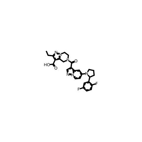 CCc1nn2c(c1C(=O)O)CN(C(=O)c1cnn3ccc(N4CCCC4c4cc(F)ccc4F)cc13)CC2